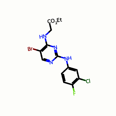 CCOC(=O)CNc1nc(Nc2ccc(F)c(Cl)c2)ncc1Br